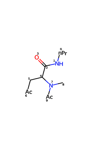 CCCNC(=O)C(CC(C)=O)N(C)C(C)=O